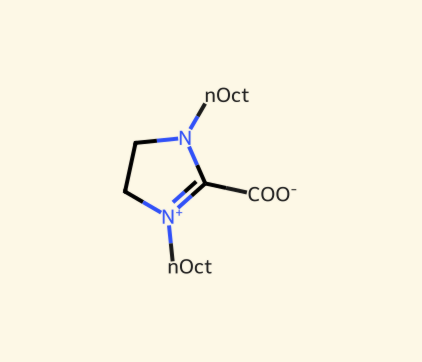 CCCCCCCCN1CC[N+](CCCCCCCC)=C1C(=O)[O-]